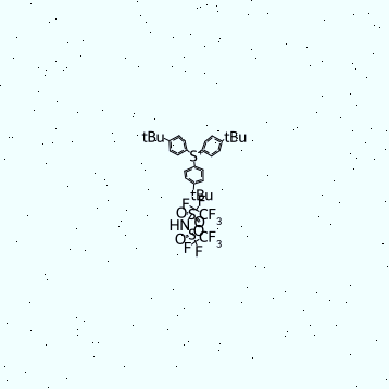 CC(C)(C)c1ccc([S+](c2ccc(C(C)(C)C)cc2)c2ccc(C(C)(C)C)cc2)cc1.O=S(=O)(NS(=O)(=O)C(F)(F)C(F)(F)F)C(F)(F)C(F)(F)F